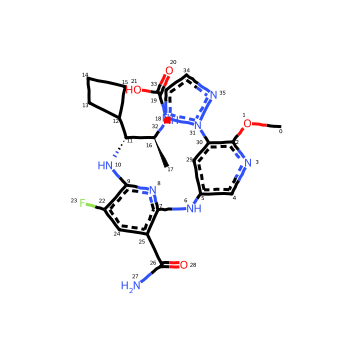 COc1ncc(Nc2nc(N[C@H](C3CCC3)[C@H](C)NC(=O)O)c(F)cc2C(N)=O)cc1-n1nccn1